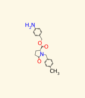 Cc1ccc(CN2C(=O)CC[C@H]2C(=O)OCc2ccc(N)cc2)cc1